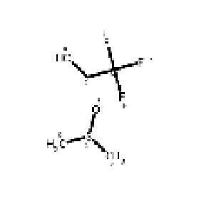 C[S+](C)[O-].OCC(F)(F)F